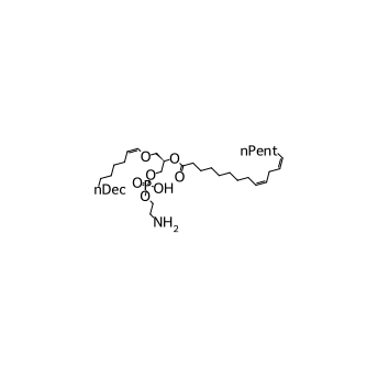 CCCCC/C=C\C/C=C\CCCCCCCC(=O)O[C@H](CO/C=C\CCCCCCCCCCCCCC)COP(=O)(O)OCCN